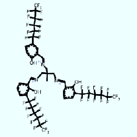 CC(C/N=C/c1cc(C(F)(F)C(F)(F)C(F)(F)C(F)(F)C(F)(F)C(F)(F)F)ccc1O)(C/N=C/c1cccc(C(F)(F)C(F)(F)C(F)(F)C(F)(F)C(F)(F)C(F)(F)F)c1O)C/N=C/c1cccc(C(F)(F)C(F)(F)C(F)(F)C(F)(F)C(F)(F)C(F)(F)F)c1O